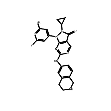 CC(C)(C)c1cc(-n2c3nc(Nc4ccc5c(c4)CCNC5)ncc3c(=O)n2C2CC2)cc(F)n1